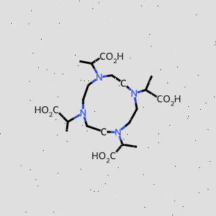 CC(C(=O)O)N1CCN(C(C)C(=O)O)CCN(C(C)C(=O)O)CCN(C(C)C(=O)O)CC1